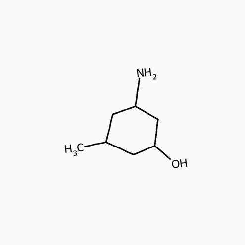 CC1CC(N)CC(O)C1